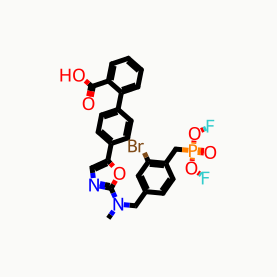 CN(Cc1ccc(CP(=O)(OF)OF)c(Br)c1)c1ncc(-c2ccc(-c3ccccc3C(=O)O)cc2)o1